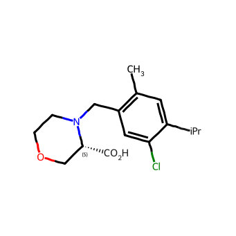 Cc1cc(C(C)C)c(Cl)cc1CN1CCOC[C@H]1C(=O)O